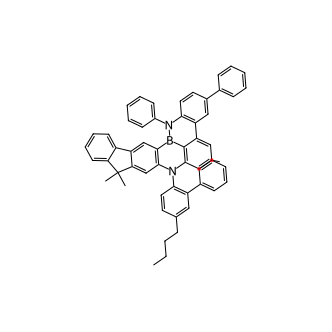 CCCCc1ccc(N2c3cc4c(cc3B3c5c(cc(C)cc52)-c2cc(-c5ccccc5)ccc2N3c2ccccc2)-c2ccccc2C4(C)C)c(-c2ccccc2)c1